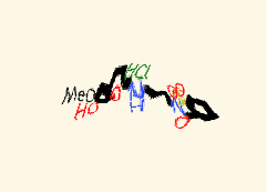 COc1cc2c(cc1O)OC(CNCCCCN1C(=O)c3ccccc3S1(=O)=O)CC2.Cl